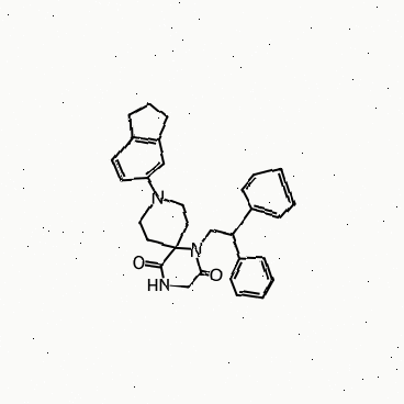 O=C1CNC(=O)C2(CCN(c3ccc4c(c3)CCC4)CC2)N1CC(c1ccccc1)c1ccccc1